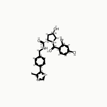 Cc1ncsc1-c1ccc(CNC(=O)[C@@H]2C[C@@H](O)CN2C(=O)c2ccc(Cl)cc2Br)cc1